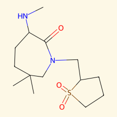 CNC1CCC(C)(C)CN(CC2CCCS2(=O)=O)C1=O